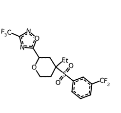 CCC1(S(=O)(=O)c2cccc(C(F)(F)F)c2)CCOC(c2nc(C(F)(F)F)no2)C1